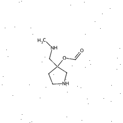 CNCC1(OC=O)CCNC1